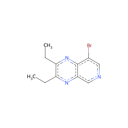 CCc1nc2cncc(Br)c2nc1CC